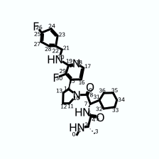 CN[C@@H](C)C(=O)N[C@H](C(=O)N1CCC[C@H]1c1ccnc(NCc2ccc(F)cc2)c1F)C1CCCCC1